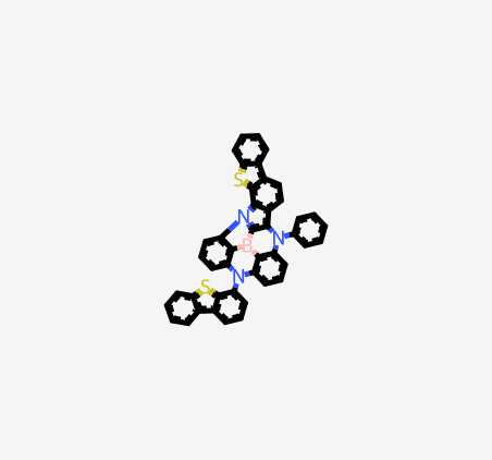 c1ccc(N2c3cccc4c3B3c5c(cccc5-n5c3c2c2ccc3c6ccccc6sc3c25)N4c2cccc3c2sc2ccccc23)cc1